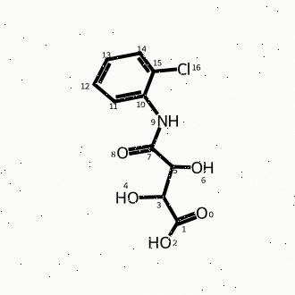 O=C(O)C(O)C(O)C(=O)Nc1ccccc1Cl